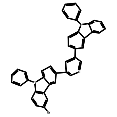 Brc1ccc2c(c1)c1cc(-c3cncc(-c4ccc5c(c4)c4ccccc4n5-c4ccccc4)c3)ccc1n2-c1ccccc1